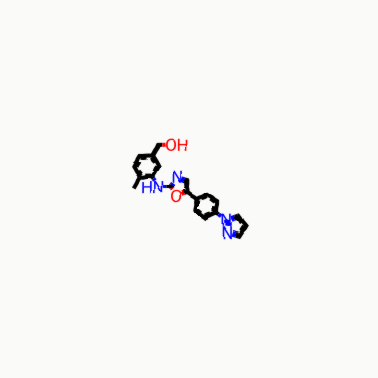 Cc1ccc(CO)cc1Nc1ncc(-c2ccc(-n3cccn3)cc2)o1